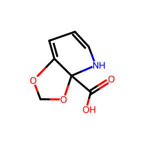 O=C(O)C12NC=CC=C1OCO2